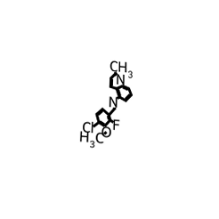 COc1c(Cl)ccc(C=Nc2cccc3nc(C)ccc23)c1F